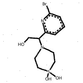 OCC(c1cccc(Br)n1)N1CCS(O)(O)CC1